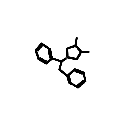 CC1CN(C(Cc2ccccc2)c2ccccc2)CC1C